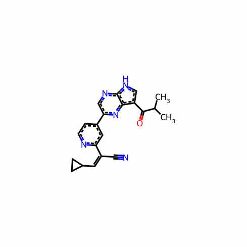 CC(C)C(=O)c1c[nH]c2ncc(-c3ccnc(/C(C#N)=C\C4CC4)c3)nc12